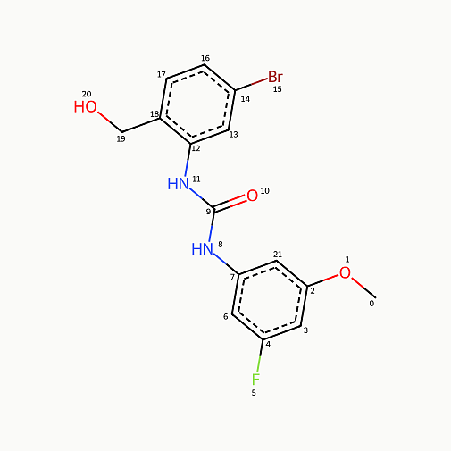 COc1cc(F)cc(NC(=O)Nc2cc(Br)ccc2CO)c1